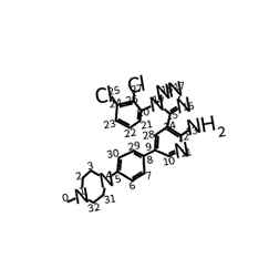 CN1CCN(c2ccc(-c3cnc(N)c(-c4nnnn4-c4cccc(Cl)c4Cl)c3)cc2)CC1